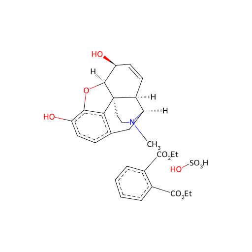 CCOC(=O)c1ccccc1C(=O)OCC.CN1CC[C@]23c4c5ccc(O)c4O[C@H]2[C@@H](O)C=C[C@H]3[C@H]1C5.O=S(=O)(O)O